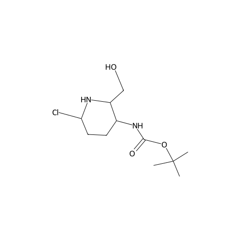 CC(C)(C)OC(=O)NC1CCC(Cl)NC1CO